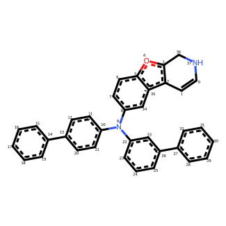 C1=Cc2c(oc3ccc(N(c4ccc(-c5ccccc5)cc4)c4cccc(-c5ccccc5)c4)cc23)CN1